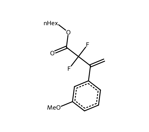 C=C(c1cccc(OC)c1)C(F)(F)C(=O)OCCCCCC